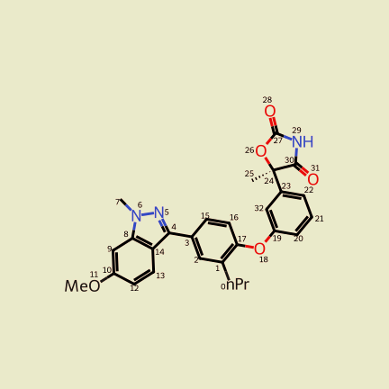 CCCc1cc(-c2nn(C)c3cc(OC)ccc23)ccc1Oc1cccc([C@@]2(C)OC(=O)NC2=O)c1